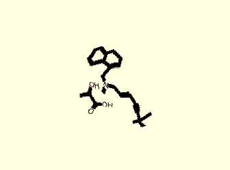 CC(O)C(=O)O.CN(CC=CC#CC(C)(C)C)Cc1cccc2ccccc12